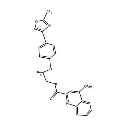 COc1cc(C(=O)NC[C@@H](C)Oc2ccc(-c3noc(C(F)(F)F)n3)cc2)nc2ccccc12